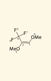 COC=C(OC)C(F)(F)F